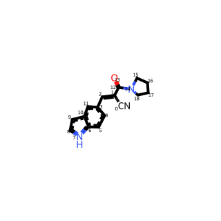 N#C/C(=C\c1ccc2[nH]ccc2c1)C(=O)N1CCCC1